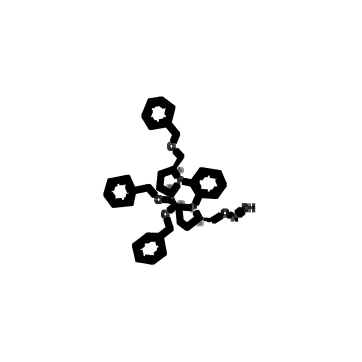 B=NOC[C@@H]1CC[C@@H](COCc2ccccc2)P1c1ccccc1P1[C@H](COCc2ccccc2)CC[C@H]1COCc1ccccc1